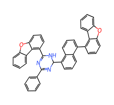 c1ccc(C2=NC(c3cccc4c(-c5cccc6oc7ccccc7c56)cccc34)NC(c3cccc4oc5ccccc5c34)=N2)cc1